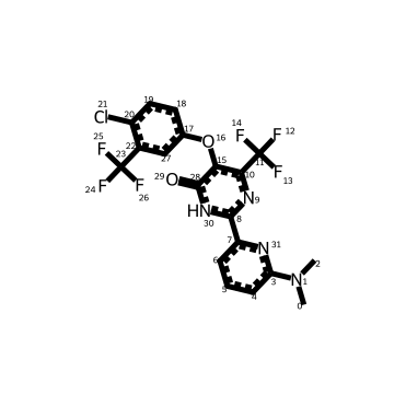 CN(C)c1cccc(-c2nc(C(F)(F)F)c(Oc3ccc(Cl)c(C(F)(F)F)c3)c(=O)[nH]2)n1